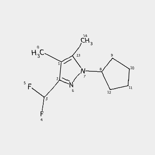 Cc1c(C(F)F)nn(C2CCCC2)c1C